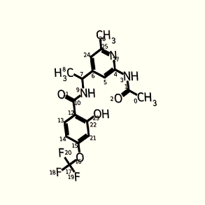 CC(=O)Nc1cc(C(C)NC(=O)c2ccc(OC(F)(F)F)cc2O)cc(C)n1